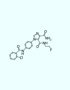 NC(=O)c1ncn(-c2ccc(NC(=O)c3ccccc3Cl)cc2)c1C(=O)NCCF